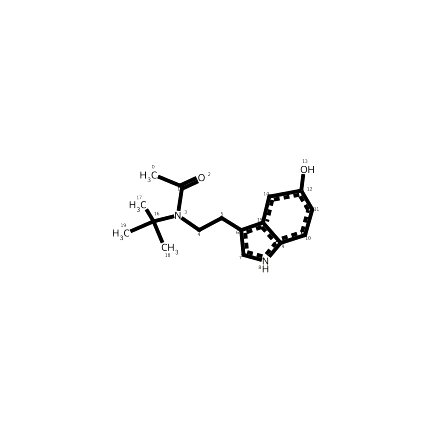 CC(=O)N(CCc1c[nH]c2ccc(O)cc12)C(C)(C)C